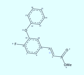 COC(=O)/C=C/c1ccc(F)c(Oc2ccccc2)c1